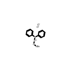 CCCC[O][Ti+2][N](c1ccccc1)c1ccccc1.[Cl-].[Cl-]